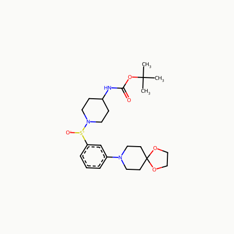 CC(C)(C)OC(=O)NC1CCN([S+]([O-])c2cccc(N3CCC4(CC3)OCCO4)c2)CC1